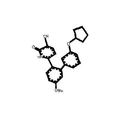 COc1ccc(-c2ccc(C#N)c(=O)[nH]2)c(-c2cccc(OC3CCCC3)c2)c1